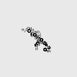 CNc1nc2[nH]ccc2cc1Oc1cc(N2CCC3(CC2)CC(N2CCC[C@@H]2c2ccccc2C(C)C)C3)ccc1C(=O)NS(=O)(=O)c1cc2c(c([N+](=O)[O-])c1)N[C@@H](C1CCC(C)(O)CC1)CO2